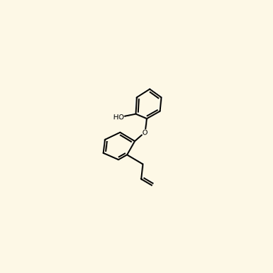 C=CCc1ccccc1Oc1ccccc1O